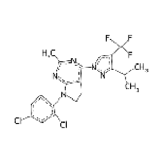 Cc1nc2c(c(-n3cc(C(F)(F)F)c(C(C)C)n3)n1)CCN2c1ccc(Cl)cc1Cl